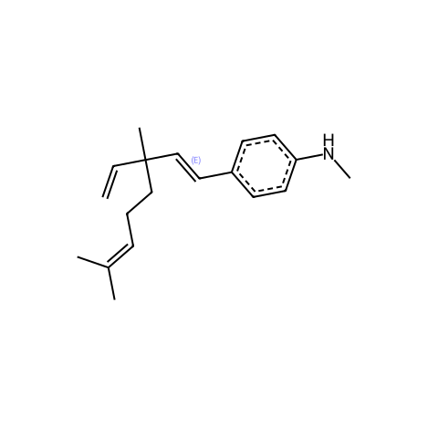 C=CC(C)(/C=C/c1ccc(NC)cc1)CCC=C(C)C